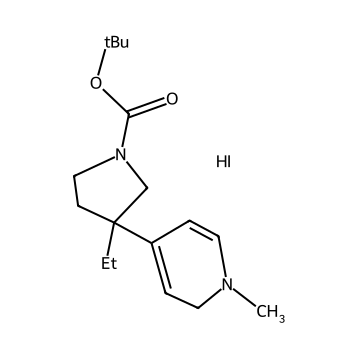 CCC1(C2=CCN(C)C=C2)CCN(C(=O)OC(C)(C)C)C1.I